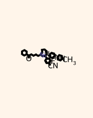 CN1CCN(c2ccc(N3CCC/C=C(CCCCC(=O)C4CCCCC4)/C=C\3c3ccc(C#N)c(F)c3)cc2)CC1